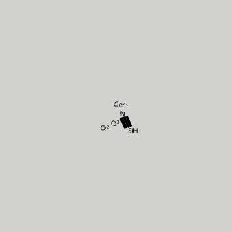 N#[SiH].[Ge+4].[O-2].[O-2]